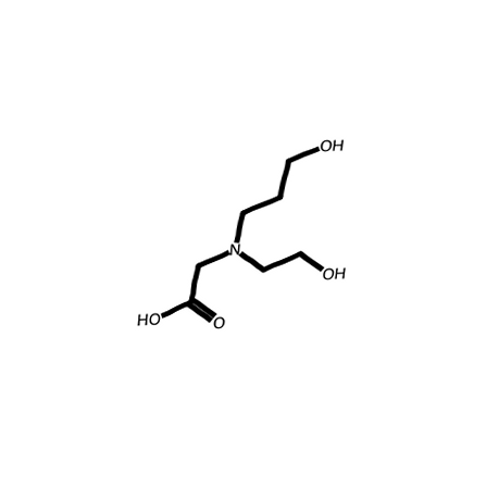 O=C(O)CN(CCO)CCCO